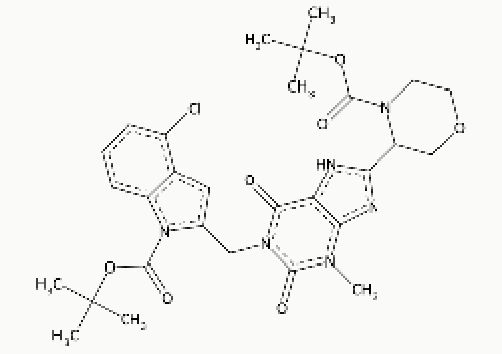 Cn1c(=O)n(Cc2cc3c(Cl)cccc3n2C(=O)OC(C)(C)C)c(=O)c2[nH]c(C3COCCN3C(=O)OC(C)(C)C)nc21